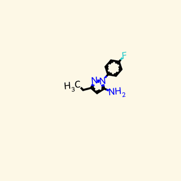 CCc1cc(N)n(-c2ccc(F)cc2)n1